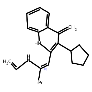 C=CN/C(=C\C1=C(C2CCCC2)C(=C)c2ccccc2N1)C(C)C